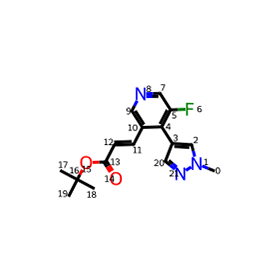 Cn1cc(-c2c(F)cncc2C=CC(=O)OC(C)(C)C)cn1